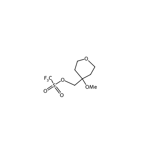 COC1(COS(=O)(=O)C(F)(F)F)CCOCC1